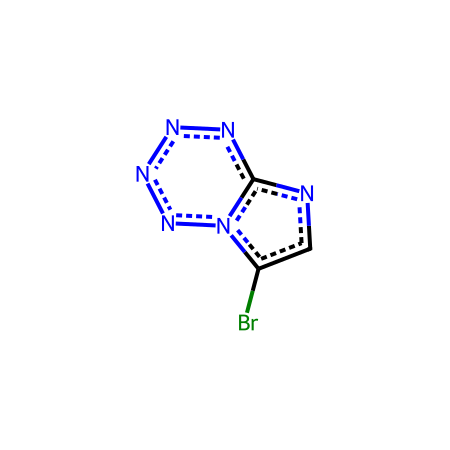 Brc1cnc2nnnnn12